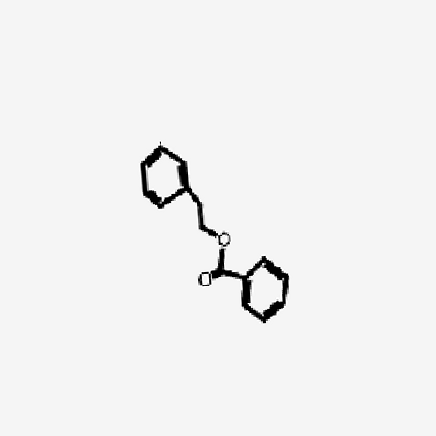 O=C(OCCc1c[c]ccc1)c1ccccc1